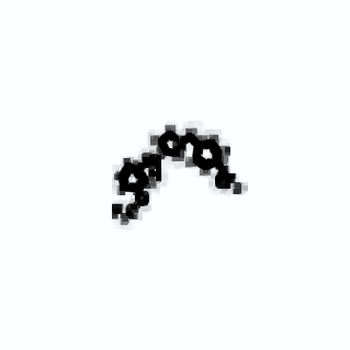 FC(F)(F)Oc1cccc(SN[C@@H]2CCN(Cc3ccc(SC(F)(F)F)cc3)C2)c1